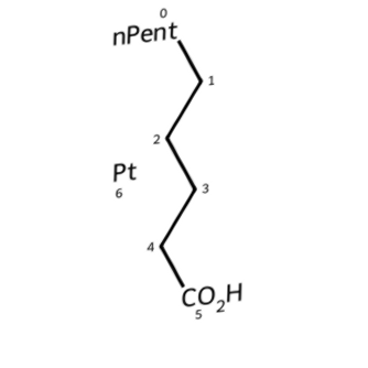 CCCCCCCCCC(=O)O.[Pt]